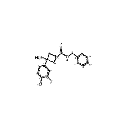 NC1(c2ccc(Cl)c(F)c2)CN(C(=O)OCc2ccccc2)C1